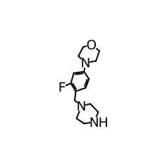 Fc1cc(N2CCOCC2)ccc1CN1CCNCC1